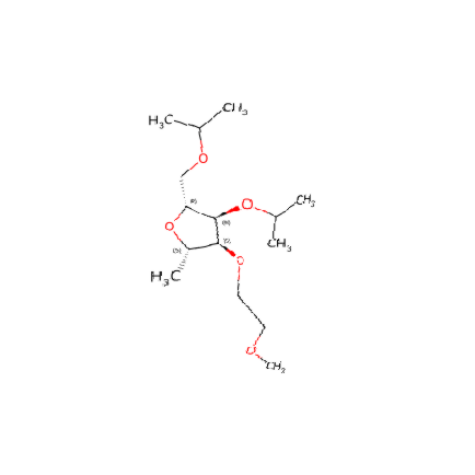 COCCO[C@@H]1[C@H](OC(C)C)[C@@H](COC(C)C)O[C@H]1C